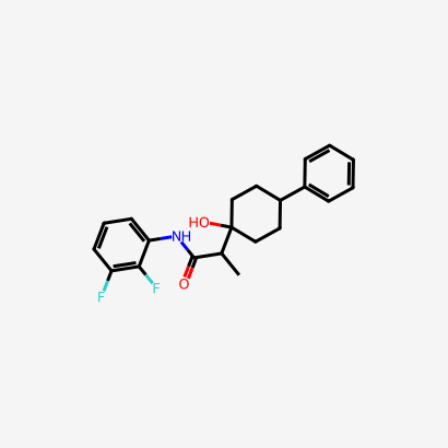 CC(C(=O)Nc1cccc(F)c1F)C1(O)CCC(c2ccccc2)CC1